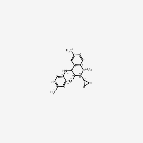 CC(=O)N1c2ccc(C)cc2C(Nc2cnc(C)cn2)C(C)[C@@H]1C1CC1